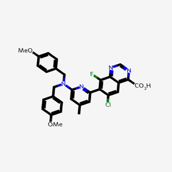 COc1ccc(CN(Cc2ccc(OC)cc2)c2cc(C)cc(-c3c(Cl)cc4c(C(=O)O)ncnc4c3F)n2)cc1